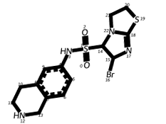 O=S(=O)(Nc1ccc2c(c1)CCNC2)C1C(Br)N=C2SCCN21